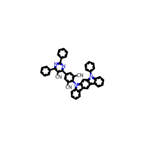 N#Cc1cc(-c2nc(-c3ccccc3)nc(-c3ccccc3)c2C#N)cc(C#N)c1-n1c2ccccc2c2cc3c4ccccc4n(-c4ccccc4)c3cc21